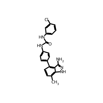 Cc1ccc(-c2ccc(NC(=O)Nc3cccc(Cl)c3)cc2)c2c(N)n[nH]c12